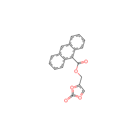 O=C(OCc1coc(=O)o1)c1c2ccccc2cc2ccccc12